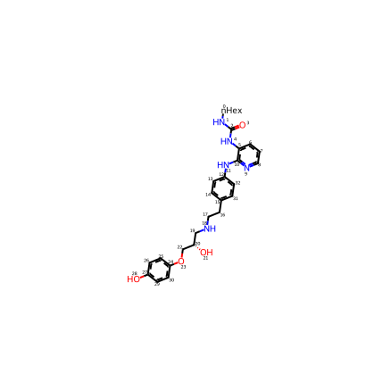 CCCCCCNC(=O)Nc1cccnc1Nc1ccc(CCNC[C@H](O)COc2ccc(O)cc2)cc1